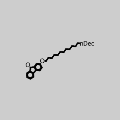 CCCCCCCCCCCCCCCCCCCCCCOc1ccc2c(c1)C(=O)c1ccccc1-2